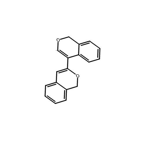 [C]1=C(C2=Cc3ccccc3CO2)c2ccccc2CO1